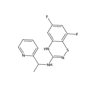 CC(NC1=NSc2c(F)cc(F)cc2N1)c1ccccn1